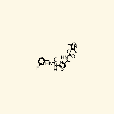 Cc1noc(C)c1OC(=O)NC(C)c1csc(NC(=O)NCc2cccc(F)c2)n1